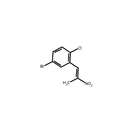 CC(=Cc1cc(Br)ccc1Cl)[N+](=O)[O-]